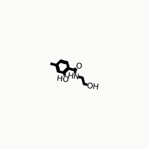 Cc1ccc(C(=O)NCCO)c(O)c1